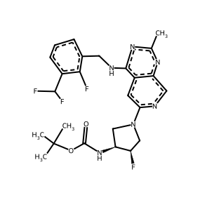 Cc1nc(NCc2cccc(C(F)F)c2F)c2cc(N3C[C@@H](F)[C@@H](NC(=O)OC(C)(C)C)C3)ncc2n1